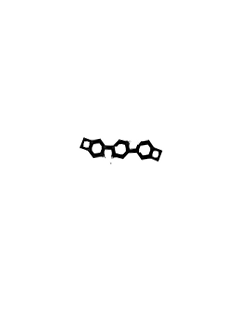 c1c2c(cc3c1[nH]c1cc4c(cc13)oc1cc3c(cc14)CC3)CC2